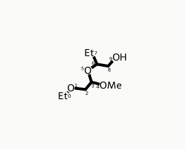 CCOCC(OC)OC(CC)CO